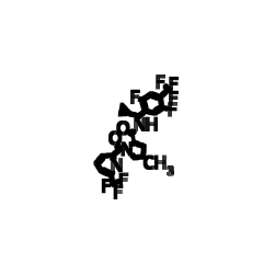 C[C@@H]1C[C@H](C(=O)N[C@@H](c2cc(F)c(C(F)(F)F)cc2F)C2CC2)N(C(=O)c2cccc(C(F)(F)F)n2)C1